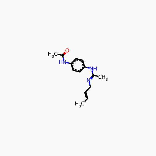 CC=CCN=C(C)Nc1ccc(NC(C)=O)cc1